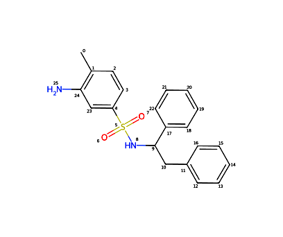 Cc1ccc(S(=O)(=O)NC(Cc2ccccc2)c2ccccc2)cc1N